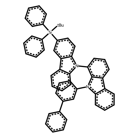 CC(C)(C)[Si](c1ccccc1)(c1ccccc1)c1ccc2c(c1)c1ccccc1n2-c1cccc2c3ccccc3n(-c3cccc(-c4ccccc4)c3)c12